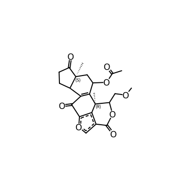 COCC1OC(=O)c2coc3c2[C@@]1(C)C1=C(C3=O)C2CCC(=O)[C@@]2(C)CC1OC(C)=O